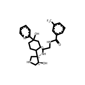 O=C(CNC(=O)c1cccc(C(F)(F)F)c1)N[C@@]1(C2CCC(O)(c3ccccn3)CC2)CNC[C@@H]1O